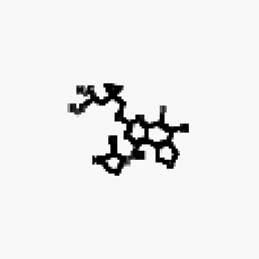 CN(C)CC1(COc2nc(N[C@@H]3CCNC3=O)c3c4c(c(Br)c(F)c3n2)COC4)CC1